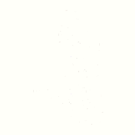 CCCCC[N+]1=C(/C=C/C2=C(N(c3ccc(I)cc3)c3ccc(I)cc3)C(=C/C=C3/N(CCCCS(=O)(=O)O)c4ccc5ccccc5c4C3(C)C)/CC2)C(C)(C)c2c1ccc1ccccc21